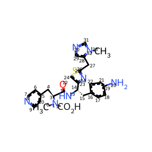 CN(C(=O)O)[C@@H](Cc1ccncc1)C(=O)N[C@@H](Cc1ccc(N)cc1)c1csc(Cc2cncn2C)n1